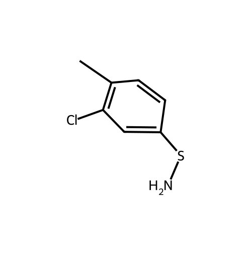 Cc1ccc(SN)cc1Cl